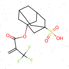 C=C(C(=O)OC12CC3CC(C1)CC(S(=O)(=O)O)(C3)C2)C(F)(F)F